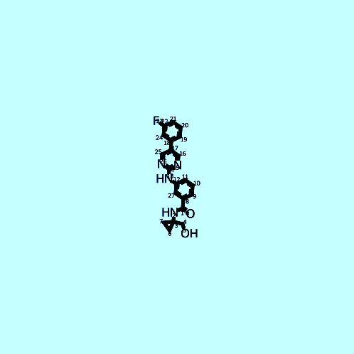 O=C(NC1(CO)CC1)c1cccc(Nc2ncc(-c3cccc(F)c3)cn2)c1